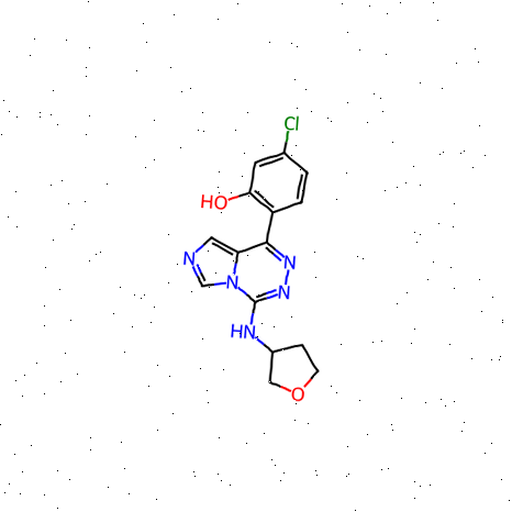 Oc1cc(Cl)ccc1-c1nnc(NC2CCOC2)n2cncc12